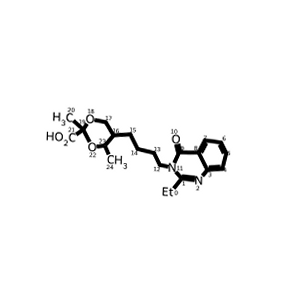 CCc1nc2ccccc2c(=O)n1CCCCC1COC(C)(C(=O)O)OC1C